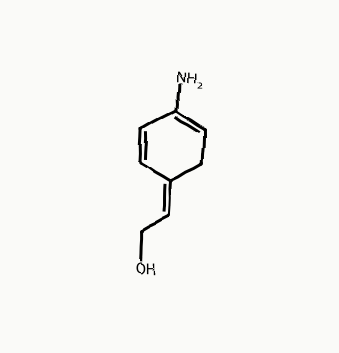 NC1=CCC(=CCO)C=C1